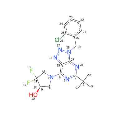 CC(C)(C)c1nc(N2C[C@@H](O)C(F)(F)C2)c2nnn(Cc3ccccc3Cl)c2n1